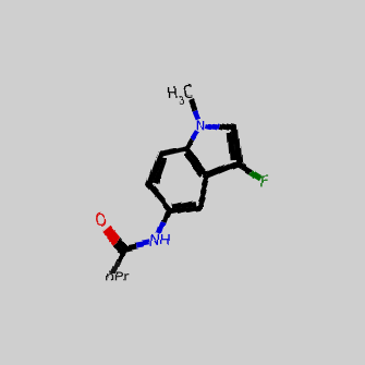 CCCC(=O)Nc1ccc2c(c1)c(F)cn2C